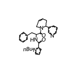 CCCCn1cccc1C(=O)NC(Cc1ccccc1)C(=O)N1CC=CCC1c1cccnc1